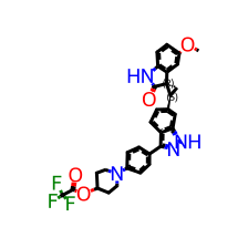 COc1ccc2c(c1)[C@]1(C[C@H]1c1ccc3c(-c4ccc(N5CCC(OC(=O)C(F)(F)F)CC5)cc4)n[nH]c3c1)C(=O)N2